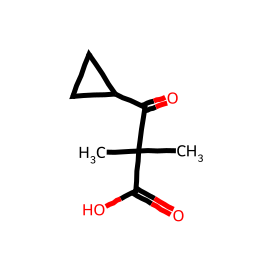 CC(C)(C(=O)O)C(=O)C1CC1